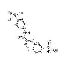 O=C(NO)c1ccc2ccc(C(=O)Nc3ccc(C(F)(F)F)cc3)cc2c1